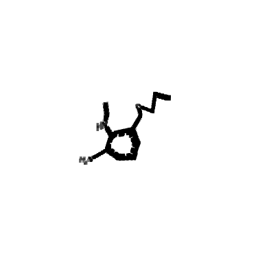 C=CCOc1cccc(N)c1NC